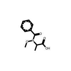 CON(C(=O)c1ccccc1)C(C)C(=O)O